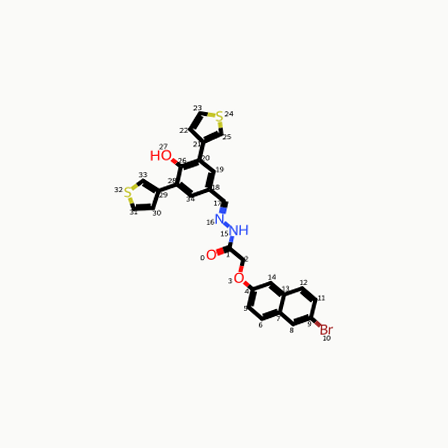 O=C(COc1ccc2cc(Br)ccc2c1)N/N=C/c1cc(-c2ccsc2)c(O)c(-c2ccsc2)c1